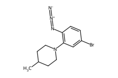 CC1CCN(c2cc(Br)ccc2N=[N+]=[N-])CC1